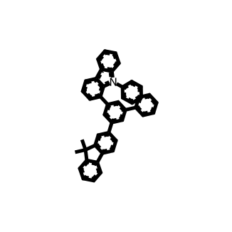 CC1(C)c2ccccc2-c2ccc(-c3cc(-c4ccccc4)cc(-c4cccc5c6ccccc6n(-c6ccccc6)c45)c3)cc21